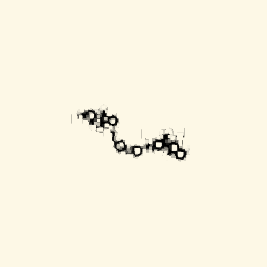 CC(C)(O)c1cc2nc([C@H]3CC[C@H](CN4CCC(CCNc5cccc6c5C(=O)N(C5CCC(=O)NC5=O)C6=O)CC4)CC3)sc2cc1-n1ccc2ccccc2c1=O